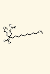 CCCCCCCCCCC(CCCC)(CO[N+](=O)[O-])[N+](=O)[O-]